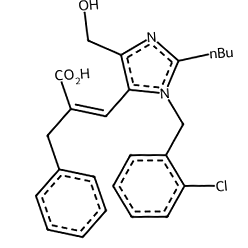 CCCCc1nc(CO)c(C=C(Cc2ccccc2)C(=O)O)n1Cc1ccccc1Cl